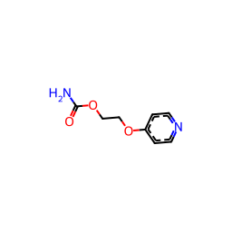 NC(=O)OCCOc1ccncc1